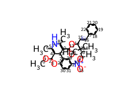 COC(=O)C1=C(C)NC(C)=C(C(=O)OC(/C=C/c2ccccc2)C(C)(C)C)C1c1cccc([N+](=O)[O-])c1